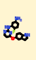 Nc1ccc(F)c(Nc2nccc(Oc3ccc4[nH]ccc4c3)n2)c1